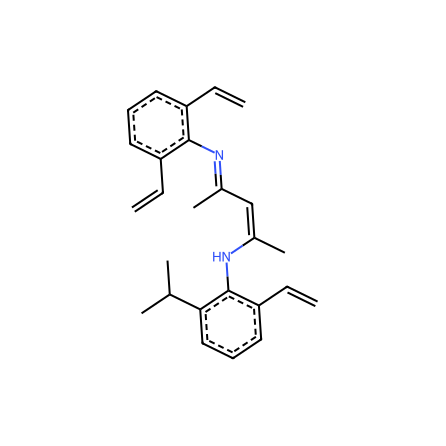 C=Cc1cccc(C=C)c1/N=C(C)/C=C(/C)Nc1c(C=C)cccc1C(C)C